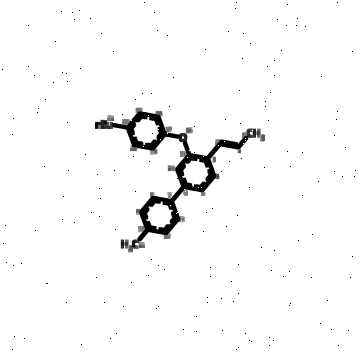 C/C=C/c1ccc(-c2ccc(C)cc2)cc1Oc1ccc(CCCC)cc1